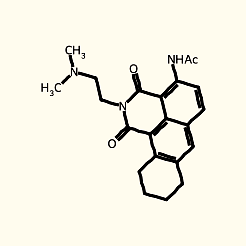 CC(=O)Nc1ccc2cc3c(c4c2c1C(=O)N(CCN(C)C)C4=O)CCCC3